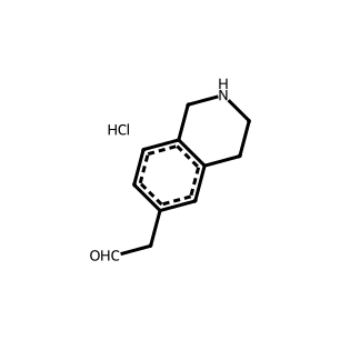 Cl.O=CCc1ccc2c(c1)CCNC2